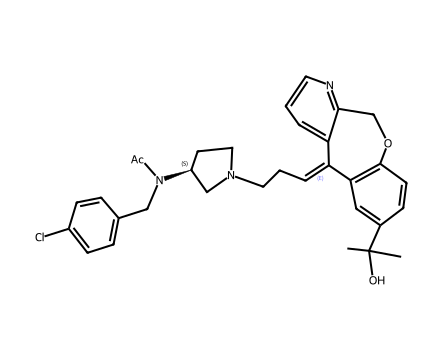 CC(=O)N(Cc1ccc(Cl)cc1)[C@H]1CCN(CC/C=C2/c3cc(C(C)(C)O)ccc3OCc3ncccc32)C1